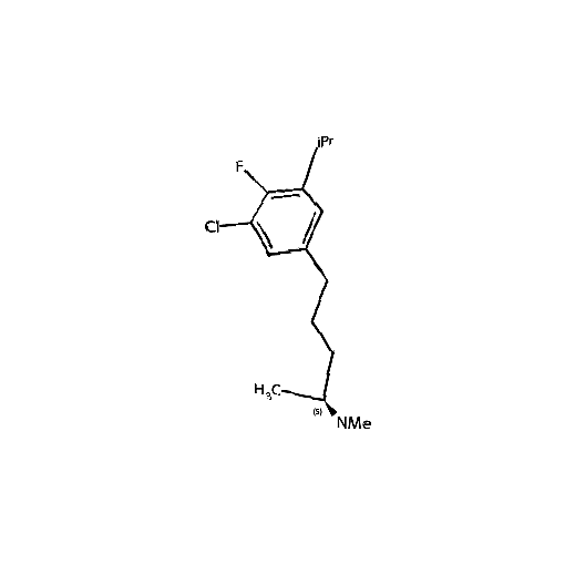 CN[C@@H](C)CCCc1cc(Cl)c(F)c(C(C)C)c1